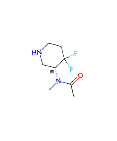 CC(=O)N(C)[C@@H]1CNCCC1(F)F